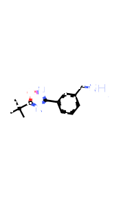 CC(C)(C)c1nc(-c2cccc(CN)c2)no1